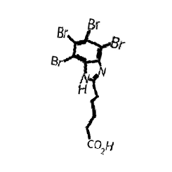 O=C(O)CCCCc1nc2c(Br)c(Br)c(Br)c(Br)c2[nH]1